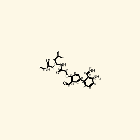 CNC(=O)C[C@H](CC(C)C)NC(=O)COc1ccc(-c2cccc(N)c2C=N)cc1C=O